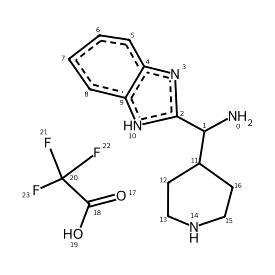 NC(c1nc2ccccc2[nH]1)C1CCNCC1.O=C(O)C(F)(F)F